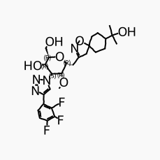 CO[C@@H]1[C@@H](n2cc(-c3ccc(F)c(F)c3F)nn2)[C@@H](O)[C@@H](CO)O[C@@H]1CC1=NOC2(CCC(C(C)(C)O)CC2)C1